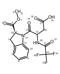 COC(=O)[C@@H]1Cc2ccccc2N1C(=O)C(CC(=O)O)NC(=O)C(F)(F)F